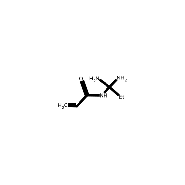 C=CC(=O)NC(N)(N)CC